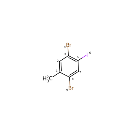 Cc1cc(Br)c(I)cc1Br